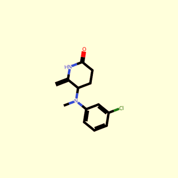 C=C1NC(=O)CCC1N(C)c1cccc(Cl)c1